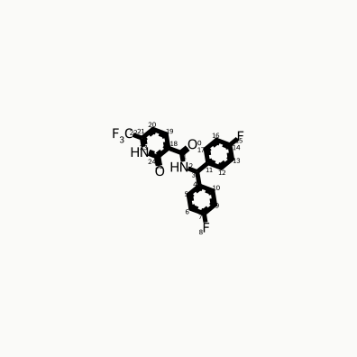 O=C(NC(c1ccc(F)cc1)c1ccc(F)cc1)c1ccc(C(F)(F)F)[nH]c1=O